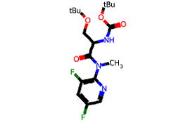 CN(C(=O)C(COC(C)(C)C)NC(=O)OC(C)(C)C)c1ncc(F)cc1F